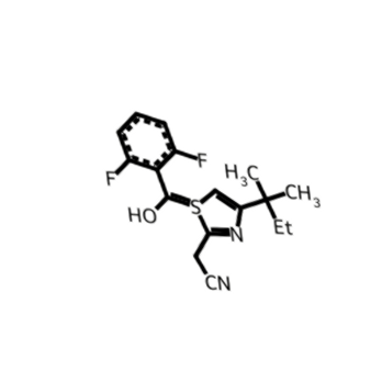 CCC(C)(C)C1=CS(=C(O)c2c(F)cccc2F)C(CC#N)=N1